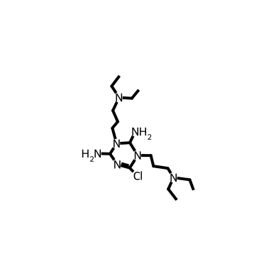 CCN(CC)CCCN1C(Cl)=NC(N)N(CCCN(CC)CC)C1N